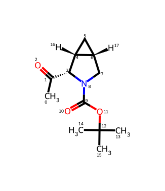 CC(=O)[C@@H]1[C@@H]2C[C@@H]2CN1C(=O)OC(C)(C)C